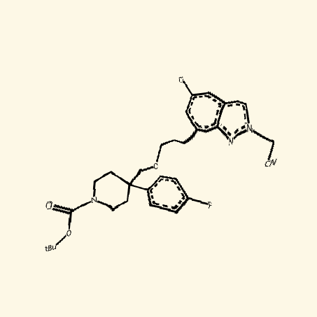 CC(C)(C)OC(=O)N1CCC(COCCc2cc(Cl)cc3cn(CC#N)nc23)(c2ccc(F)cc2)CC1